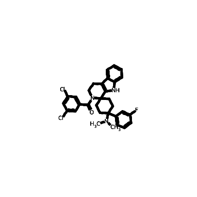 CN(C)C1(c2cccc(F)c2)CCC2(CC1)c1[nH]c3ccccc3c1CCN2C(=O)c1cc(Cl)cc(Cl)c1